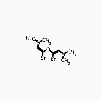 CCC(=CN(C)C)OC(=CN(C)C)CC